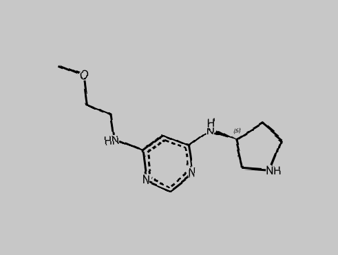 COCCNc1cc(N[C@H]2CCNC2)ncn1